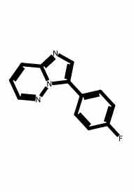 Fc1ccc(-c2cnc3cccnn23)cc1